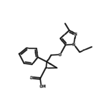 CCn1nc(C)cc1OCC1(c2ccccc2)CC1C(=O)O